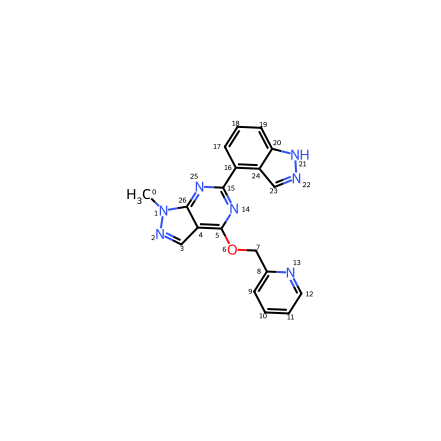 Cn1ncc2c(OCc3ccccn3)nc(-c3cccc4[nH]ncc34)nc21